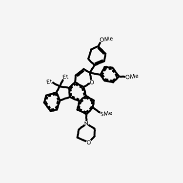 CCC1(CC)c2ccccc2-c2c1c1c(c3cc(SC)c(N4CCOCC4)cc23)OC(C2=CC=C(OC)CC2)(c2ccc(OC)cc2)C=C1